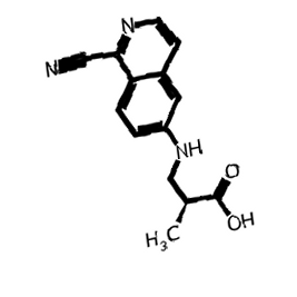 C[C@@H](CNc1ccc2c(C#N)nccc2c1)C(=O)O